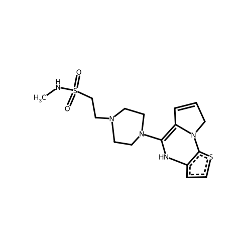 CNS(=O)(=O)CCN1CCN(C2=C3C=CCN3c3sccc3N2)CC1